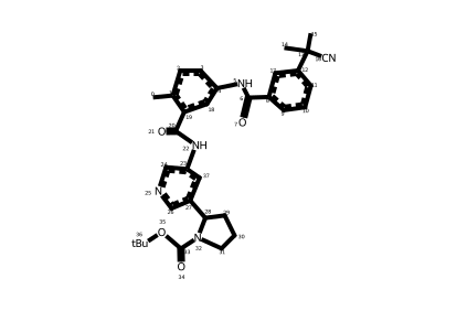 Cc1ccc(NC(=O)c2cccc(C(C)(C)C#N)c2)cc1C(=O)Nc1cncc(C2CCCN2C(=O)OC(C)(C)C)c1